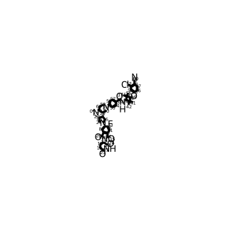 CN(C[C@@H]1CCN(c2cc3c(cc2F)C(=O)N(C2CCC(=O)NC2=O)C3=O)C1)C1CCN(c2ccc(C(=O)N[C@H]3C(C)(C)[C@H](Oc4ccc(C#N)c(Cl)c4)C3(C)C)cc2)CC1